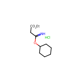 CCOC(=O)CC(=N)OC1CCCCC1.Cl